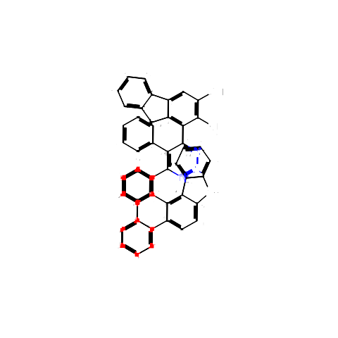 Cc1cc2c(c(-c3nnnc(-c4cccc(-c5ccccc5)c4-c4c(-c5ccccc5-c5ccccc5)ccc5[se]c6ccccc6c45)c3-c3ccccc3)c1C)Cc1ccccc1-2